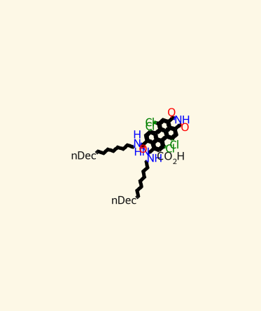 CCCCCCCCCCCCCCCCCCNC(=N)c1c(C(=O)O)c(Cl)c2c3c(Cl)cc4c5c(cc(Cl)c(c6c(Cl)cc(C(=O)NCCCCCCCCCCCCCCCCCC)c1c62)c53)C(=O)NC4=O